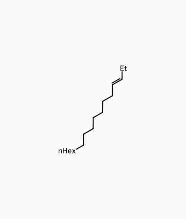 [CH2]CC=CCCCCCCCCCCCCC